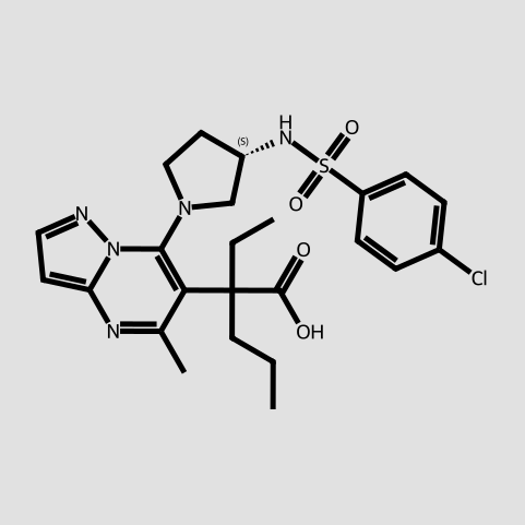 CCCC(CC)(C(=O)O)c1c(C)nc2ccnn2c1N1CC[C@H](NS(=O)(=O)c2ccc(Cl)cc2)C1